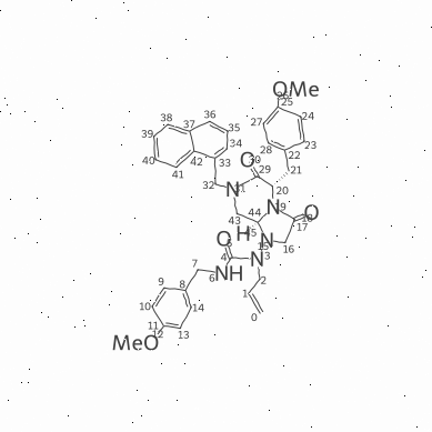 C=CCN(C(=O)NCc1ccc(OC)cc1)N1CC(=O)N2[C@@H](Cc3ccc(OC)cc3)C(=O)N(Cc3cccc4ccccc34)C[C@@H]21